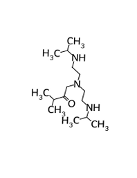 CC(C)NCCN(CCNC(C)C)CC(=O)C(C)C